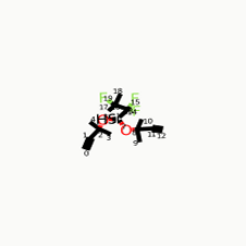 C#CC(C)(C)O[SiH](OC(C)(C)C#C)C(F)(F)C(C)(C)F